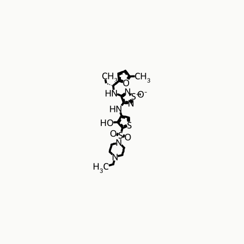 CC[C@@H](Nc1n[s+]([O-])nc1Nc1csc(S(=O)(=O)N2CCN(CC)CC2)c1O)c1ccc(C)o1